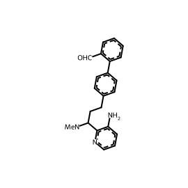 CNC(CCc1ccc(-c2ccccc2C=O)cc1)c1ncccc1N